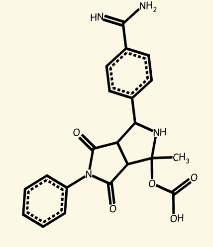 CC1(OC(=O)O)NC(c2ccc(C(=N)N)cc2)C2C(=O)N(c3ccccc3)C(=O)C21